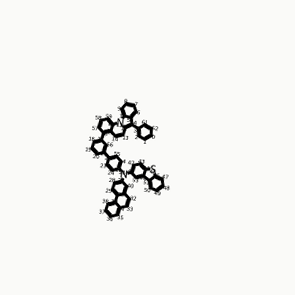 c1ccc(-c2c3ccccc3n3c2ccc2c(-c4cccc(-c5ccc(N(c6ccc7c(ccc8ccccc87)c6)c6ccc7sc8ccccc8c7c6)cc5)c4)cccc23)cc1